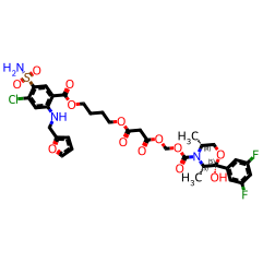 C[C@@H]1CO[C@@](O)(c2cc(F)cc(F)c2)[C@H](C)N1C(=O)OCOC(=O)CC(=O)OCCCCOC(=O)c1cc(S(N)(=O)=O)c(Cl)cc1NCc1ccco1